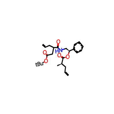 C=CCC(CC(=O)OC(C)(C)C)C(=O)NC[C@H](OC(=O)[C@H](C)CC=C)c1ccccc1